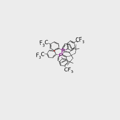 CC1(C)CC2(CC(C)(C)c3cccc(P(c4ccc(C(F)(F)F)cc4)c4ccc(C(F)(F)F)cc4)c32)c2c(P(c3ccc(C(F)(F)F)cc3)c3ccc(C(F)(F)F)cc3)cccc21